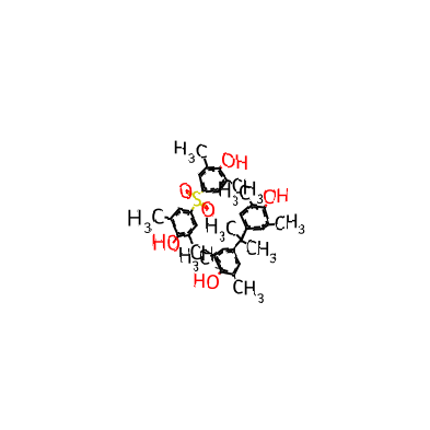 Cc1cc(C(C)(C)c2cc(C)c(O)c(C)c2)cc(C)c1O.Cc1cc(S(=O)(=O)c2cc(C)c(O)c(C)c2)cc(C)c1O